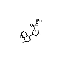 Cc1ccc(C2C[C@@H](C)CN(C(=O)OC(C)(C)C)C2)c2cccnc12